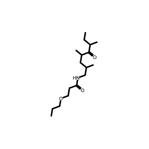 CCCOCCC(=O)NCC(C)CC(C)C(=O)C(C)CC